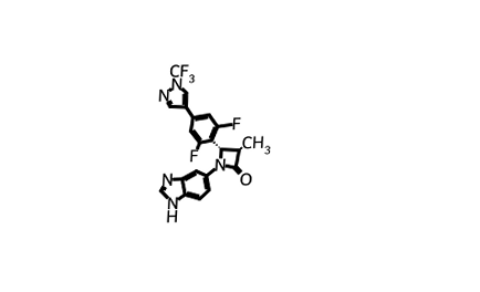 C[C@@H]1C(=O)N(c2ccc3[nH]cnc3c2)[C@@H]1c1c(F)cc(-c2cnn(C(F)(F)F)c2)cc1F